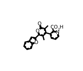 Cc1c(-c2cc3ccccc3o2)oc(=O)c(C)c1-c1cccnc1C(=O)O